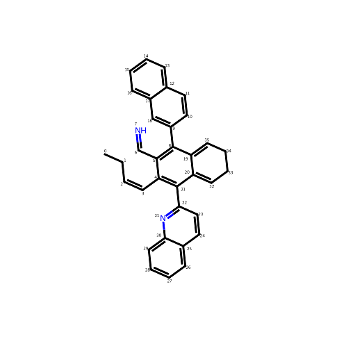 CC/C=C\c1c(C=N)c(-c2ccc3ccccc3c2)c2c(c1-c1ccc3ccccc3n1)=CCCC=2